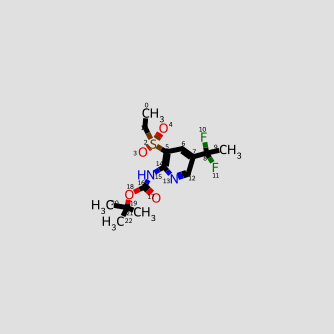 CCS(=O)(=O)c1cc(C(C)(F)F)cnc1NC(=O)OC(C)(C)C